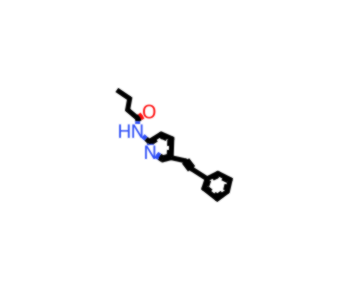 CCCC(=O)Nc1ccc(C#Cc2ccccc2)cn1